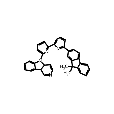 CC1(C)c2ccccc2-c2ccc(-c3cccc(-c4cccc(N5c6ccccc6C6C=NC=CC65)n4)n3)cc21